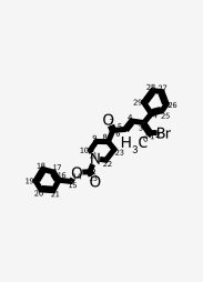 CC(Br)=C(C=CC(=O)C1CCN(C(=O)OCc2ccccc2)CC1)c1ccccc1